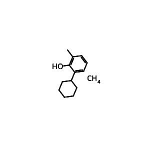 C.Cc1cccc(C2CCCCC2)c1O